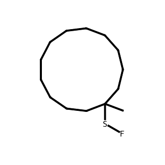 CC1(SF)CCCCCCCCCCCC1